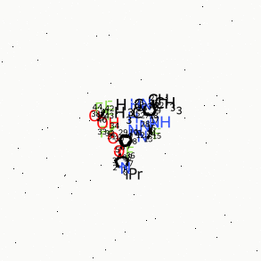 CC(C)N1CCC(Oc2ccc(Nc3ncc(F)c(NC4CC(C)(C)NC(C)(C)C4)n3)cc2OC(F)F)C(F)C1.O=C(O)C(F)(F)F